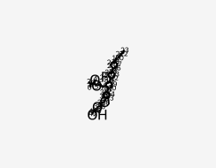 C=C(C)C(=O)OCCc1cc(-c2ccc(C3CCC(CCCCC)CC3)cc2F)ccc1-c1ccc(OCCOCCO)cc1